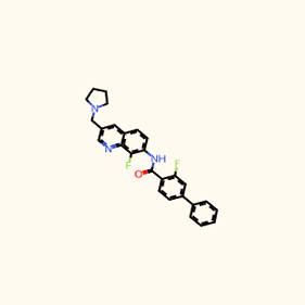 O=C(Nc1ccc2cc(CN3CCCC3)cnc2c1F)c1ccc(-c2ccccc2)cc1F